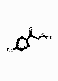 CCSCC(=O)c1ccc(C(F)(F)F)cc1